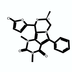 C[C@H]1Cn2c(-c3ccccc3)c3c(=O)n(C)c(=O)n(C)c3c2C(c2ccc(Cl)o2)S1